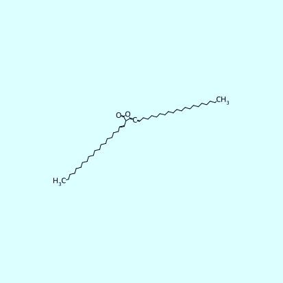 CCCCCCCCCCCCCCCCCCC=CC1C(=O)OC1=C=CCCCCCCCCCCCCCCCCCCC